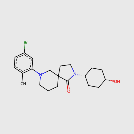 N#Cc1ccc(Br)cc1N1CCCC2(CCN([C@H]3CC[C@@H](O)CC3)C2=O)C1